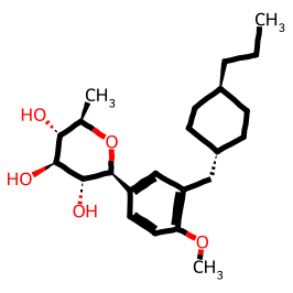 CCC[C@H]1CC[C@H](Cc2cc([C@@H]3O[C@H](C)[C@@H](O)[C@H](O)[C@H]3O)ccc2OC)CC1